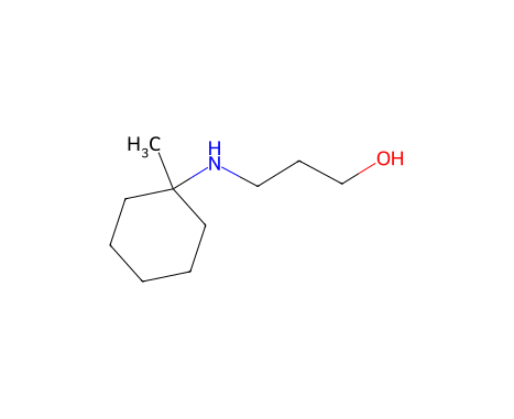 CC1(NCCCO)CCCCC1